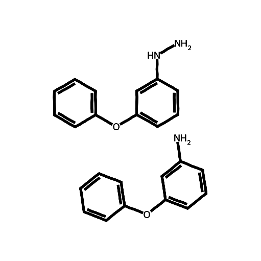 NNc1cccc(Oc2ccccc2)c1.Nc1cccc(Oc2ccccc2)c1